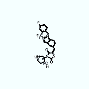 O=C1SC(=Cc2ccc3c(cnn3Cc3ccc(F)cc3C(F)(F)F)c2)C(=O)N1[C@@H]1CNCC[C@H]1O